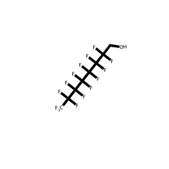 OCC(F)(F)C(F)(F)C(F)(F)C(F)(F)C(F)(F)C(F)(F)C(F)(F)F